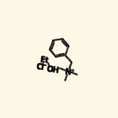 CCO.C[N+](C)(C)Cc1ccccc1.[Cl-]